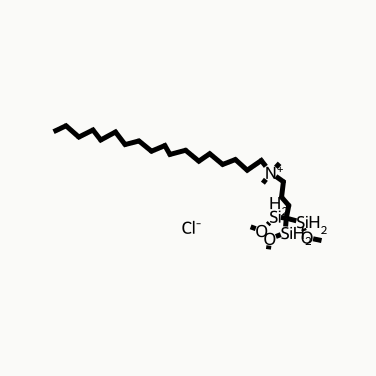 CCCCCCCCCCCCCCCCCC[N+](C)(C)CCCC([SiH2]OC)([SiH2]OC)[SiH2]OC.[Cl-]